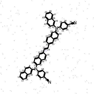 N#Cc1ccc(N(c2ccc3ccccc3c2)c2ccc3cc(/C=C/c4ccc5cc(N(c6ccc(C#N)cc6)c6ccc7ccccc7c6)ccc5c4)ccc3c2)cc1